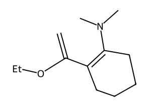 C=C(OCC)C1=C(N(C)C)CCCC1